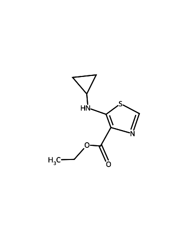 CCOC(=O)c1ncsc1NC1CC1